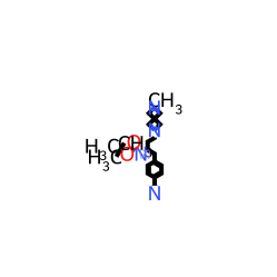 CN1CC2(C1)CN(CC/C(Cc1ccc(C#N)cc1)=N\C(=O)OC(C)(C)C)C2